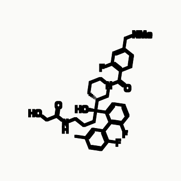 CNCc1ccc(C(=O)N2CCC[C@@H]([C@@](O)(CCCNC(=O)CO)c3cccc(F)c3-c3cc(C)ccc3F)C2)c(F)c1